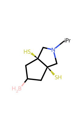 BC1C[C@@]2(S)CN(C(C)C)C[C@@]2(S)C1